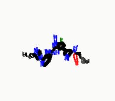 Cc1cn(-c2nccc3[nH]c(-c4n[nH]c5c(F)cc(-c6cncc(NC(=O)CC(C)(C)C)c6)cc45)nc23)cn1